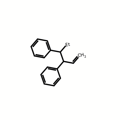 C=CC(c1ccccc1)C(CC)c1ccccc1